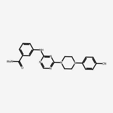 CNC(=O)c1cccc(Nc2ncnc(N3CCN(c4ccc(C#N)cc4)CC3)n2)c1